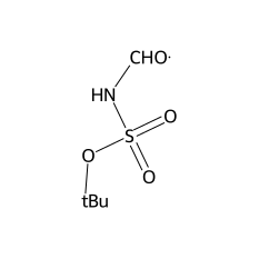 CC(C)(C)OS(=O)(=O)N[C]=O